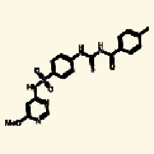 COc1cc(NS(=O)(=O)c2ccc(NC(=S)NC(=O)c3ccc(C)cc3)cc2)ncn1